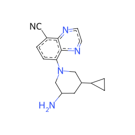 N#Cc1ccc(N2CC(N)CC(C3CC3)C2)c2nccnc12